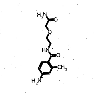 Cc1cc(N)ccc1C(=O)NCCOCC(N)=O